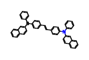 C(=C\c1ccc(N(c2ccccc2)c2ccc3ccccc3c2)cc1)/c1ccc(B(c2ccccc2)c2ccc3ccccc3c2)cc1